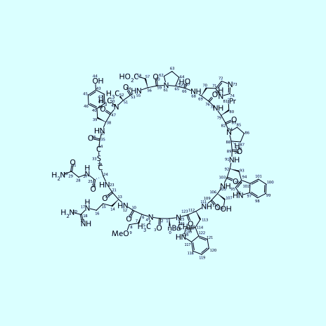 CCCC[C@H]1C(=O)N(C)[C@@H](CCOC)C(=O)N[C@@H](CCCNC(=N)N)C(=O)N[C@H](C(=O)NCC(N)=O)CSCC(=O)N[C@@H](Cc2ccc(O)cc2)C(=O)N(C)[C@@H](C)C(=O)N[C@@H](CC(=O)O)C(=O)N2CCC[C@H]2C(=O)N[C@@H](Cc2cnc[nH]2)C(=O)N[C@@H](CC(C)C)C(=O)N2CCC[C@H]2C(=O)N[C@@H](Cc2c[nH]c3ccccc23)C(=O)N[C@@H](CO)C(=O)N[C@@H](Cc2c[nH]c3ccccc23)C(=O)N1C